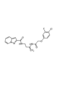 C=C(CCNC(=O)c1cc2ccccn2n1)NC(=O)COc1ccc(Cl)c(F)c1